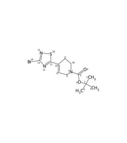 CC(C)(C)OC(=O)N1CC=C(c2nc(Br)ns2)CC1